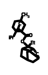 CCC1(OC(=O)C2CC3(C)CCC2(C(C)C)CC3)C2CC3CC(C2)CC1C3